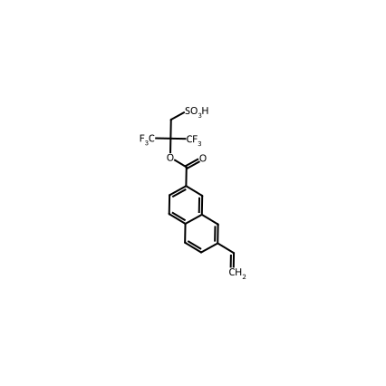 C=Cc1ccc2ccc(C(=O)OC(CS(=O)(=O)O)(C(F)(F)F)C(F)(F)F)cc2c1